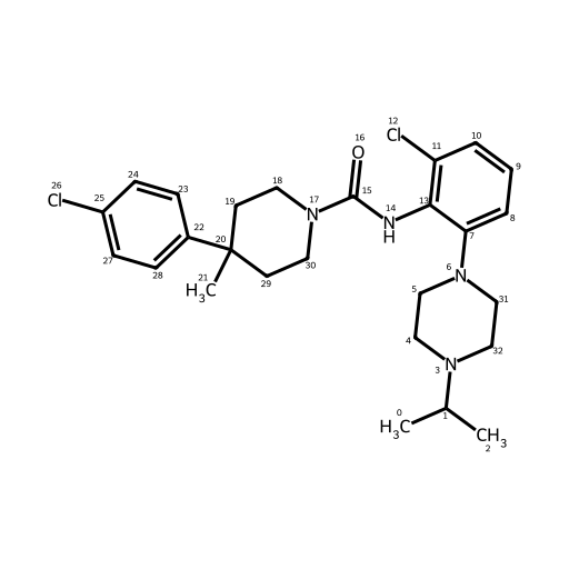 CC(C)N1CCN(c2cccc(Cl)c2NC(=O)N2CCC(C)(c3ccc(Cl)cc3)CC2)CC1